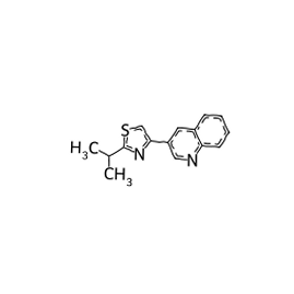 CC(C)c1nc(-c2cnc3ccccc3c2)cs1